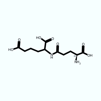 N[C@@H](CCC(=O)NC(CCCC(=O)O)C(=O)O)C(=O)O